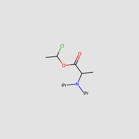 CC(Cl)OC(=O)C(C)N(C(C)C)C(C)C